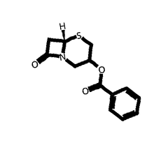 O=C(OC1CS[C@H]2CC(=O)N2C1)c1ccccc1